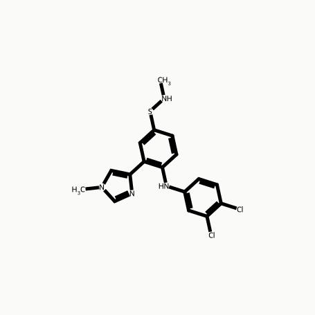 CNSc1ccc(Nc2ccc(Cl)c(Cl)c2)c(-c2cn(C)cn2)c1